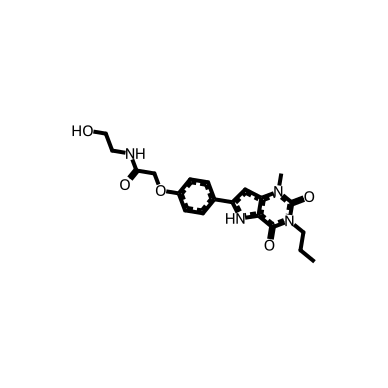 CCCn1c(=O)c2[nH]c(-c3ccc(OCC(=O)NCCO)cc3)cc2n(C)c1=O